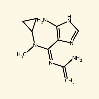 C=C(N)/N=C(\c1nc[nH]c1N)N(C)C1CC1